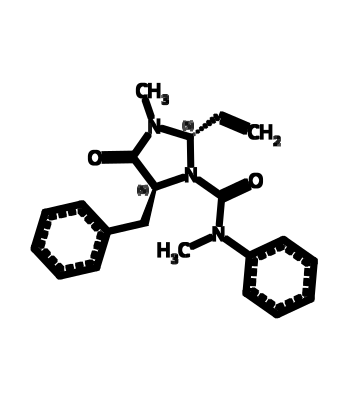 C=C[C@H]1N(C)C(=O)[C@H](Cc2ccccc2)N1C(=O)N(C)c1ccccc1